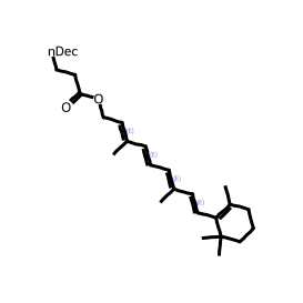 CCCCCCCCCCCCC(=O)OC/C=C(C)/C=C/C=C(C)/C=C/C1=C(C)CCCC1(C)C